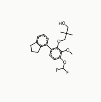 COc1c(OC(F)F)ccc(-c2cccc3c2CCC3)c1OCC(C)(C)CO